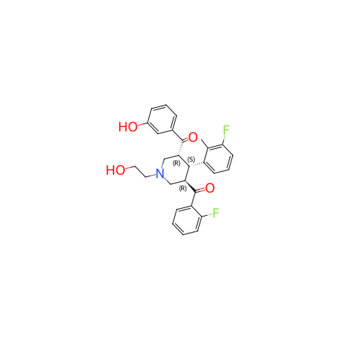 Cc1c(F)cccc1[C@H]1[C@@H](C(=O)c2cccc(O)c2)CN(CCO)C[C@@H]1C(=O)c1ccccc1F